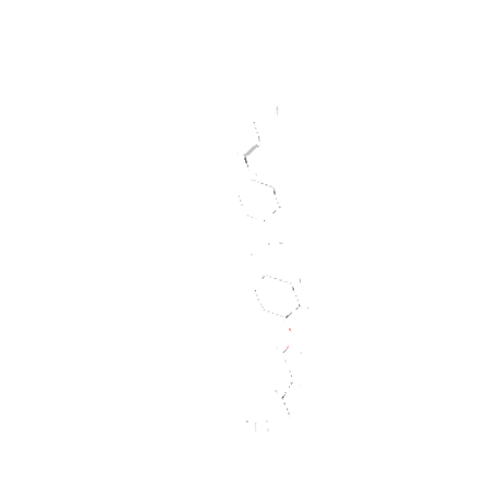 CC/C=C/[C@H]1CC[C@H](CC[C@H]2CC[C@H](OCCCCC)CC2)CC1